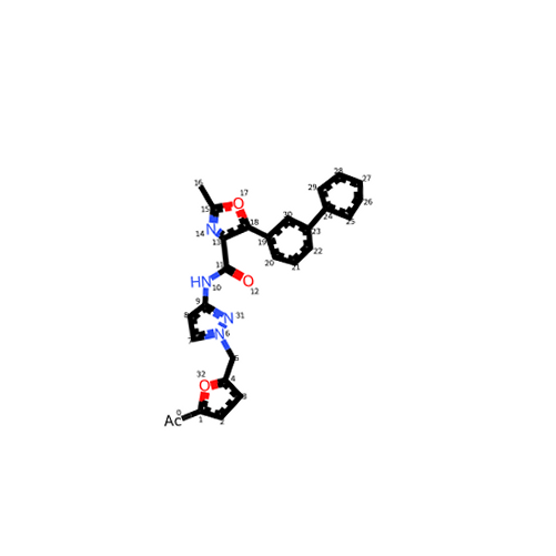 CC(=O)c1ccc(Cn2ccc(NC(=O)c3nc(C)oc3-c3cccc(-c4ccccc4)c3)n2)o1